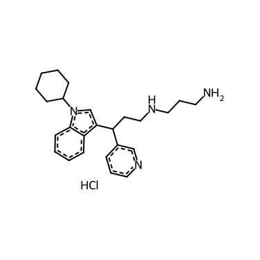 Cl.NCCCNCCC(c1cccnc1)c1cn(C2CCCCC2)c2ccccc12